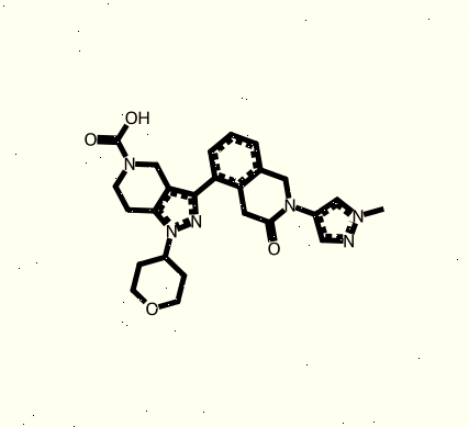 Cn1cc(N2Cc3cccc(-c4nn(C5CCOCC5)c5c4CN(C(=O)O)CC5)c3CC2=O)cn1